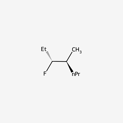 CCC[C@H](C)[C@H](F)CC